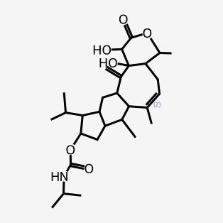 C=C1C2CC3C(CC(OC(=O)NC(C)C)C3C(C)C)C(C)C2/C(C)=C\CC2C(C)OC(=O)C(O)C12O